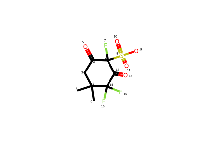 CC1(C)CC(=O)C(F)(S([O])(=O)=O)C(=O)C1(F)F